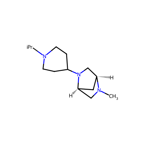 CC(C)N1CCC(N2C[C@@H]3C[C@H]2CN3C)CC1